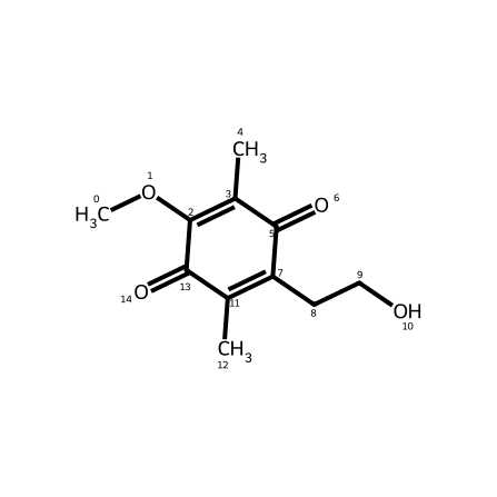 COC1=C(C)C(=O)C(CCO)=C(C)C1=O